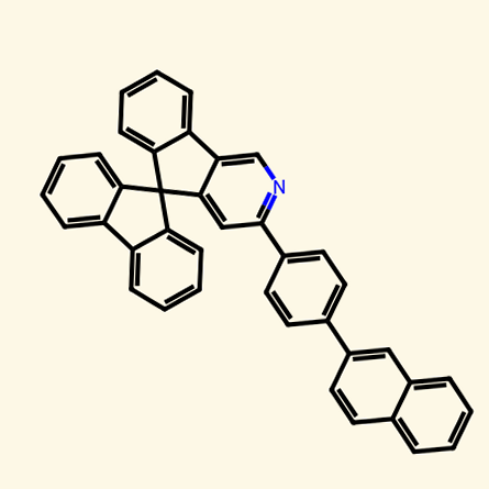 c1ccc2c(c1)-c1ccccc1C21c2ccccc2-c2cnc(-c3ccc(-c4ccc5ccccc5c4)cc3)cc21